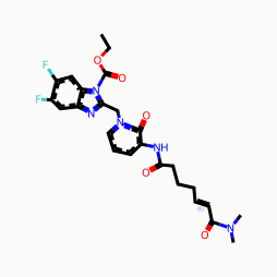 CCOC(=O)n1c(Cn2cccc(NC(=O)CCC/C=C/C(=O)N(C)C)c2=O)nc2cc(F)c(F)cc21